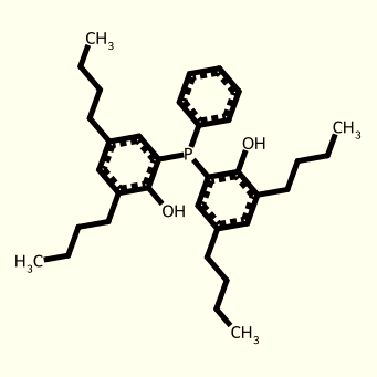 CCCCc1cc(CCCC)c(O)c(P(c2ccccc2)c2cc(CCCC)cc(CCCC)c2O)c1